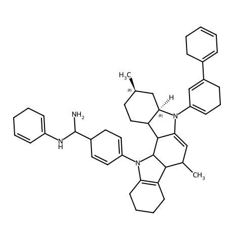 CC1C=C2C(C3CC[C@@H](C)C[C@H]3N2C2=CCCC(C3=CC=CCC3)=C2)C2C1C1=C(CCCC1)N2C1=CCC(C(N)NC2=CCCC=C2)C=C1